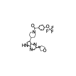 O=C(c1ccc(OC(F)(F)F)cc1)N1CCC(c2c[nH]c3ncc([C@H]4CCOC4)nc23)CC1